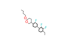 CCCCOC1CCC(c2ccc(-c3ccc(CC)c(F)c3F)cc2F)CO1